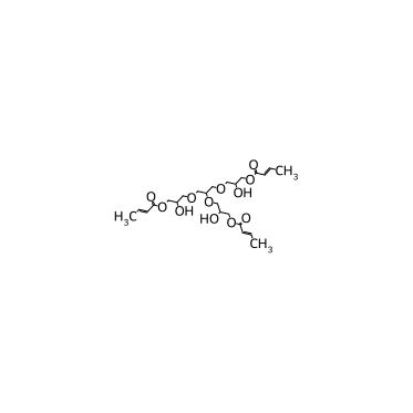 CC=CC(=O)OCC(O)COCC(COCC(O)COC(=O)C=CC)OCC(O)COC(=O)C=CC